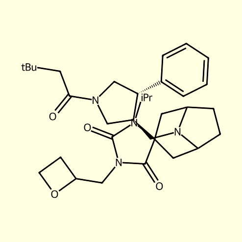 CC(C)N1C(=O)N(CC2CCO2)C(=O)C12CC1CCC(C2)N1C[C@H]1CN(C(=O)CC(C)(C)C)C[C@@H]1c1ccccc1